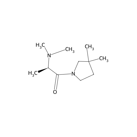 C[C@H](C(=O)N1CCC(C)(C)C1)N(C)C